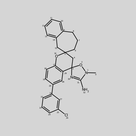 CN1OC2(CC3(CCCc4ccccc4C3)Oc3ccc(-c4cccc(Cl)c4)cc32)N=C1N